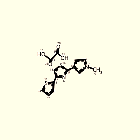 Cn1ccc(-c2nc(-c3cccs3)cs2)c1.O=C(O)C(=O)O